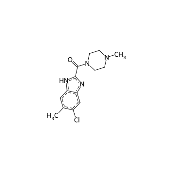 Cc1cc2[nH]c(C(=O)N3CCN(C)CC3)nc2cc1Cl